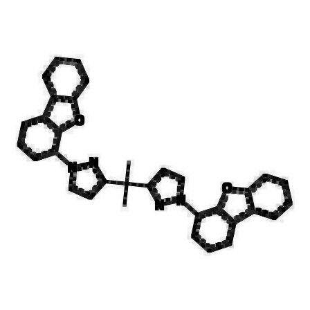 CC(C)(c1ccn(-c2cccc3c2oc2ccccc23)n1)c1ccn(-c2cccc3c2oc2ccccc23)n1